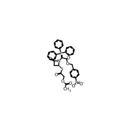 CC(=O)OCC(=O)S[C@H]1CC(=O)N1C(C(=O)OCc1ccc([N+](=O)[O-])cc1)=P(c1ccccc1)(c1ccccc1)c1ccccc1